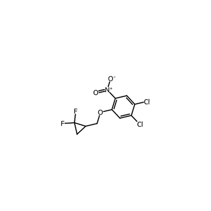 O=[N+]([O-])c1cc(Cl)c(Cl)cc1OCC1CC1(F)F